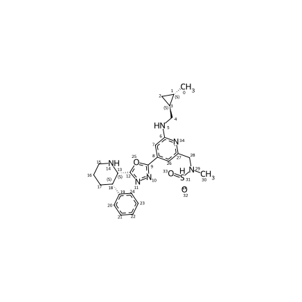 C[C@H]1C[C@@H]1CNc1cc(-c2nnc([C@H]3NCCC[C@H]3c3ccccc3)o2)cc(CN(C)[SH](=O)=O)n1